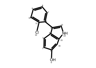 Oc1ccc2c(-c3ccccc3Cl)c[nH]c2c1